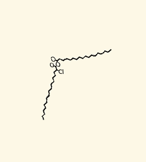 CCCCCCCCCCCCCCCCCC(=O)OC(=O)C(Cl)CCCCCCCCCCCCCCCC